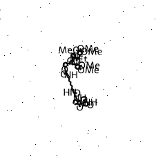 CC[C@H](C(=O)N1CCCC[C@H]1C(=O)O[C@H](CCc1ccc(OC)c(OC)c1)c1cccc(OCC(=O)NCCCCCCCCNC(=O)CNc2cccc3c2CN(C2CCC(=O)NC2=O)C3=O)c1)c1cc(OC)c(OC)c(OC)c1